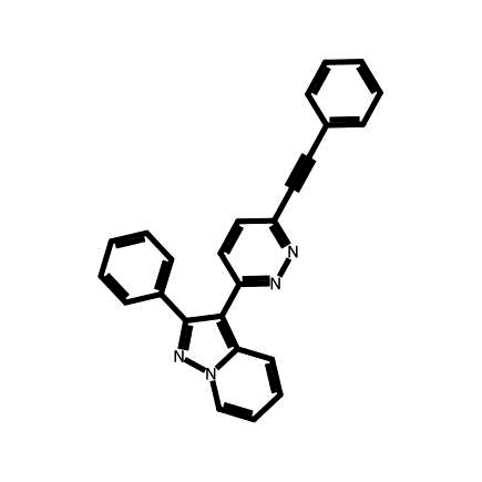 C(#Cc1ccc(-c2c(-c3ccccc3)nn3ccccc23)nn1)c1ccccc1